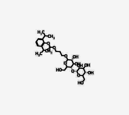 CC(C)c1cccc(C(C)C)c1OC(=O)OCCCOC1OC(CO)[C@@H](O[C@H]2OC(CO)[C@@H](O)C(O)[C@H]2O)C(O)[C@H]1O